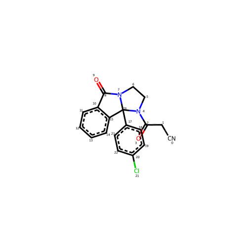 N#CCC(=O)N1CCN2C(=O)c3ccccc3C12c1ccc(Cl)cc1